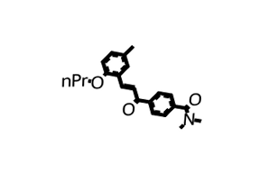 CCCOc1ccc(C)cc1C=CC(=O)c1ccc(C(=O)N(C)C)cc1